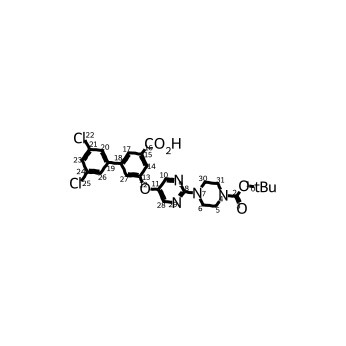 CC(C)(C)OC(=O)N1CCN(c2ncc(Oc3cc(C(=O)O)cc(-c4cc(Cl)cc(Cl)c4)c3)cn2)CC1